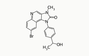 CC(O)c1ccc(-n2c(=O)n(C)c3cnc4ccc(Br)cc4c32)cc1